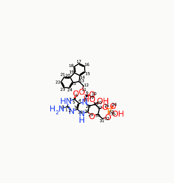 Nc1nc2c(c(=O)[nH]1)N(C(=O)OCC1c3ccccc3-c3ccccc31)C1C(N2)OC2COP(=O)(O)OC2C1(O)O